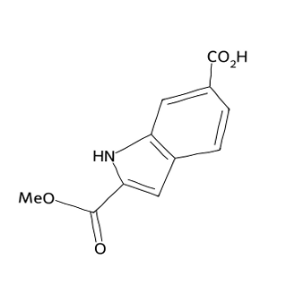 COC(=O)c1cc2ccc(C(=O)O)cc2[nH]1